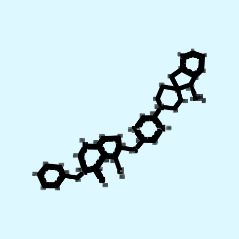 N[C@@H]1c2cccnc2CC12CCN(c1cnc(Sc3ccc4ncn(Cc5ccccc5)c(=O)c4c3Cl)cn1)CC2